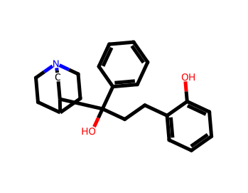 Oc1ccccc1CCC(O)(c1ccccc1)C1CN2CCC1CC2